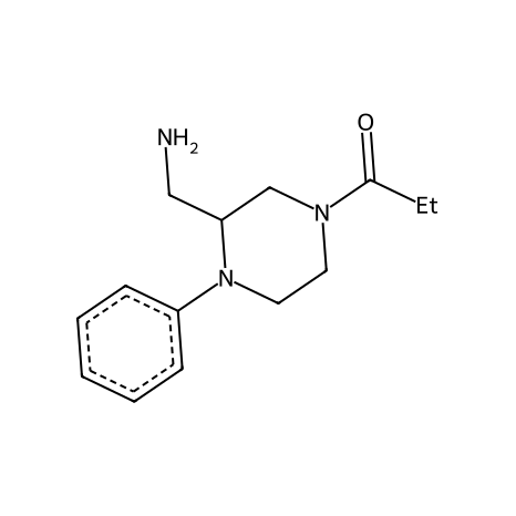 CCC(=O)N1CCN(c2ccccc2)C(CN)C1